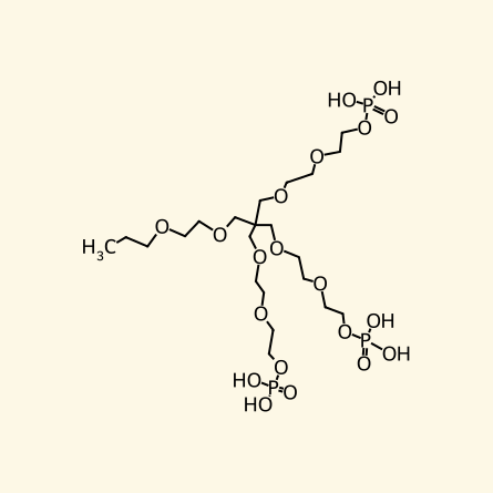 CCCOCCOCC(COCCOCCOP(=O)(O)O)(COCCOCCOP(=O)(O)O)COCCOCCOP(=O)(O)O